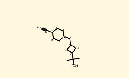 CC(C)(O)C1CC(CN2CCC(C#N)CC2)C1